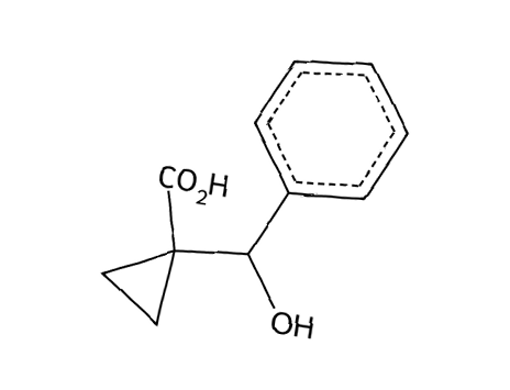 O=C(O)C1(C(O)c2ccccc2)CC1